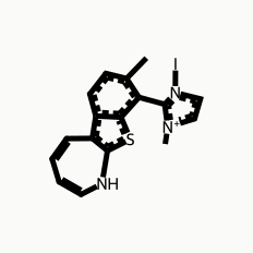 Cc1ccc2c3c(sc2c1-c1n(I)cc[n+]1C)NC=CC=C3